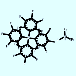 CC[NH+](CC)C(C)C.Fc1c(F)c(F)c([B-](c2c(F)c(F)c(F)c(F)c2F)(c2c(F)c(F)c(F)c(F)c2F)c2c(F)c(F)c(F)c(F)c2F)c(F)c1F